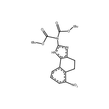 CC(C)(C)OC(=O)N(C(=O)OC(C)(C)C)c1nc2c([nH]1)-c1cccc([N+](=O)[O-])c1CC2